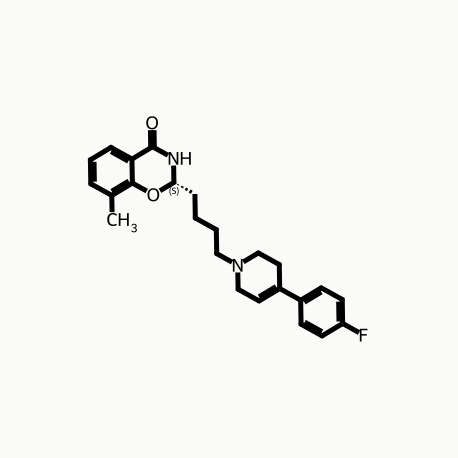 Cc1cccc2c1O[C@@H](CCCCN1CC=C(c3ccc(F)cc3)CC1)NC2=O